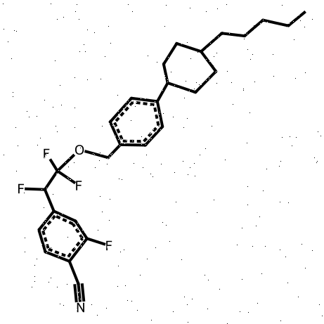 CCCCCC1CCC(c2ccc(COC(F)(F)C(F)c3ccc(C#N)c(F)c3)cc2)CC1